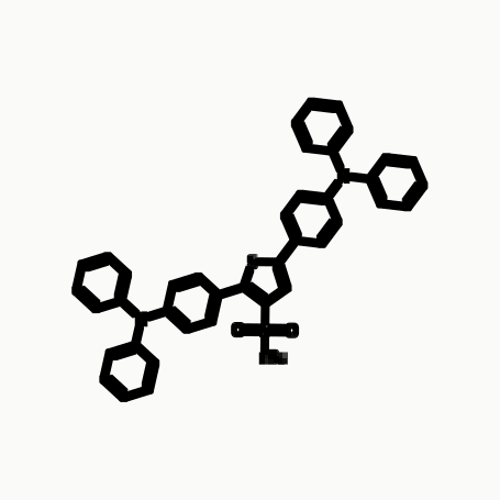 CCCCS(=O)(=O)c1cc(-c2ccc(N(c3ccccc3)c3ccccc3)cc2)sc1-c1ccc(N(c2ccccc2)c2ccccc2)cc1